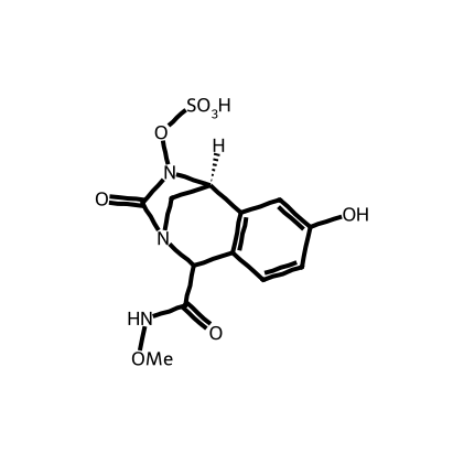 CONC(=O)C1c2ccc(O)cc2[C@H]2CN1C(=O)N2OS(=O)(=O)O